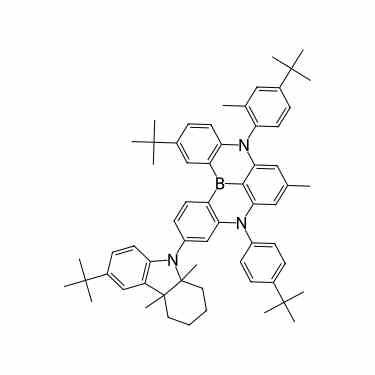 Cc1cc2c3c(c1)N(c1ccc(C(C)(C)C)cc1C)c1ccc(C(C)(C)C)cc1B3c1ccc(N3c4ccc(C(C)(C)C)cc4C4(C)CCCCC34C)cc1N2c1ccc(C(C)(C)C)cc1